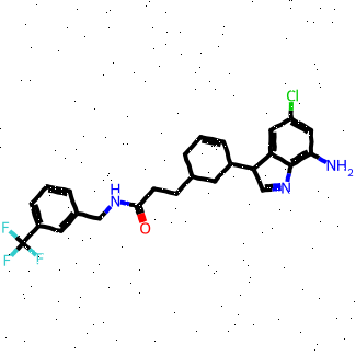 Nc1cc(Cl)cc2c1N=CC2C1C=CCC(CCC(=O)NCc2cccc(C(F)(F)F)c2)C1